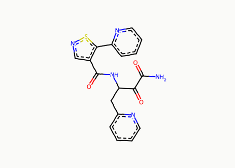 NC(=O)C(=O)C(Cc1ccccn1)NC(=O)c1cnsc1-c1ccccn1